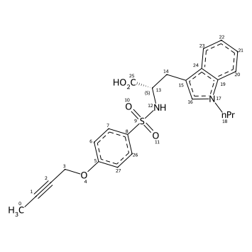 CC#CCOc1ccc(S(=O)(=O)N[C@@H](Cc2cn(CCC)c3ccccc23)C(=O)O)cc1